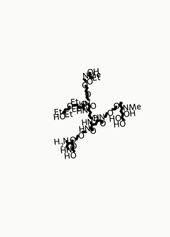 C=C(OCCOCCNC(=O)CCC(NC(=O)CCC(NC(=O)CCC(CC)(CC)OCCC(O)(CC)CC)C(=O)NCCOCCOC(CNC)OC(CC)CO)C(=O)NCCOCCOC1OC(CO)NCC1N)C(CC(O)C(O)CO)NC